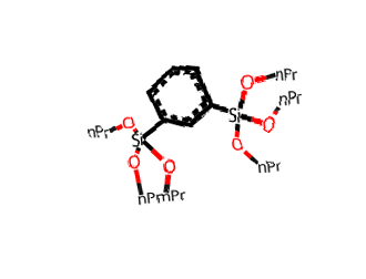 CCCO[Si](OCCC)(OCCC)c1cccc([Si](OCCC)(OCCC)OCCC)c1